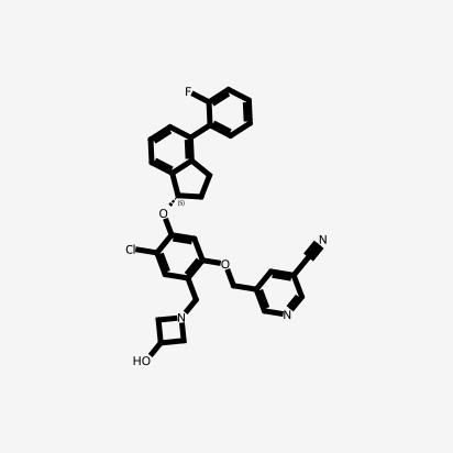 N#Cc1cncc(COc2cc(O[C@H]3CCc4c(-c5ccccc5F)cccc43)c(Cl)cc2CN2CC(O)C2)c1